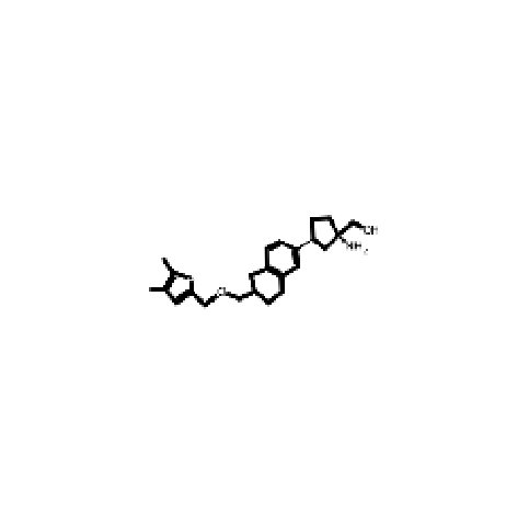 Cc1cc(COCC2CCc3cc([C@H]4CC[C@](N)(CO)C4)ccc3C2)sc1C